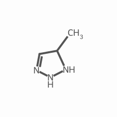 CC1C=NNN1